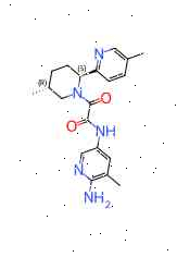 Cc1ccc([C@@H]2CC[C@@H](C)CN2C(=O)C(=O)Nc2cnc(N)c(C)c2)nc1